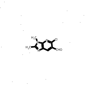 Cc1nc2cc(C=O)c(Cl)nc2n1C